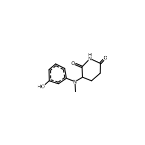 CN(c1cccc(O)c1)C1CCC(=O)NC1=O